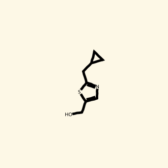 OCc1cnc(CC2CC2)s1